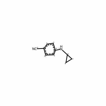 N#Cc1ccc(NC2CC2)cc1